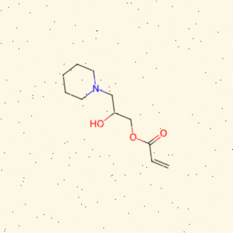 C=CC(=O)OCC(O)CN1CCCCC1